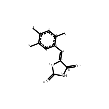 Cc1cc(C)c(/C=C2\OC(=S)NC2=O)cc1C